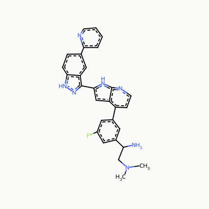 CN(C)CC(N)c1cc(F)cc(-c2ccnc3[nH]c(-c4n[nH]c5ccc(-c6ccccn6)cc45)cc23)c1